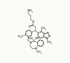 Cc1ccc(C(CC(=O)OCCCN)c2ccc3c(nnn3C)c2C)cc1CN1CCN(C)c2ccccc2S1(O)O